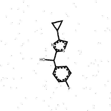 OC(c1ccc(F)cc1)c1nc(C2CC2)cs1